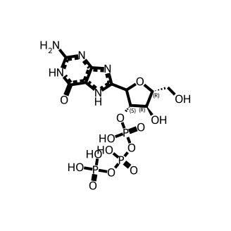 Nc1nc2nc(C3O[C@H](CO)[C@@H](O)[C@@H]3OP(=O)(O)OP(=O)(O)OP(=O)(O)O)[nH]c2c(=O)[nH]1